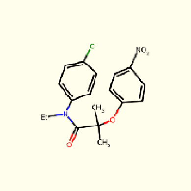 CCN(C(=O)C(C)(C)Oc1ccc([N+](=O)[O-])cc1)c1ccc(Cl)cc1